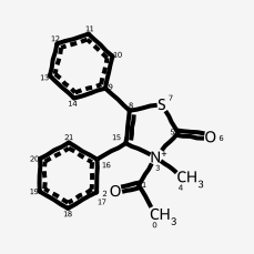 CC(=O)[N+]1(C)C(=O)SC(c2ccccc2)=C1c1ccccc1